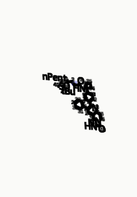 CCCCCC(/C=C/C(=O)NC1(c2ccc(-c3nc4ccn5c(=O)[nH]nc5c4cc3-c3ccccc3)cc2)CCC1)O[Si](C)(C)C(C)(C)C